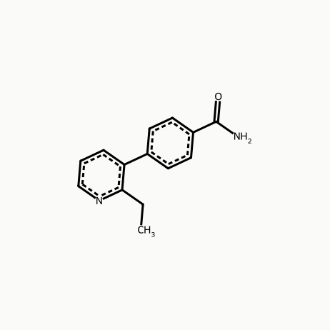 CCc1ncccc1-c1ccc(C(N)=O)cc1